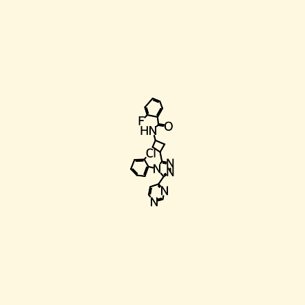 O=C(NC1CC(c2nnc(-c3ccncn3)n2-c2ccccc2Cl)C1)c1ccccc1F